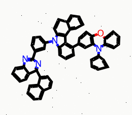 c1ccc(N2c3ccccc3Oc3ccc(-c4cccc5c4c4c6ccccc6ccc4n5-c4cccc(-c5nc(-c6cccc7ccccc67)c6ccccc6n5)c4)cc32)cc1